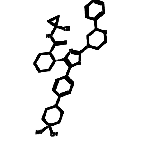 N#CC1(NC(=O)[C@@H]2CCCC[C@H]2c2nc(N3CCOC(c4ccccc4)C3)sc2-c2ccc(N3CCS(O)(O)CC3)cc2)CC1